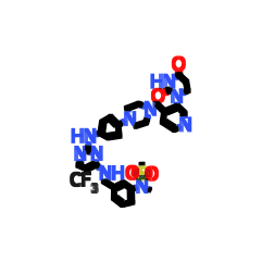 CN(c1cccc(CNc2nc(Nc3ccc(N4CCN(Cc5ccncc5N5CCC(=O)NC5=O)CC4)cc3)ncc2C(F)(F)F)c1)S(C)(=O)=O